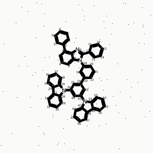 c1ccc(-c2cccc3c2nc(-c2ccccc2)n3-c2cccc(-c3cc(-n4c5ccccc5c5ccccc54)cc(-n4c5ccccc5c5ccccc54)c3)c2)cc1